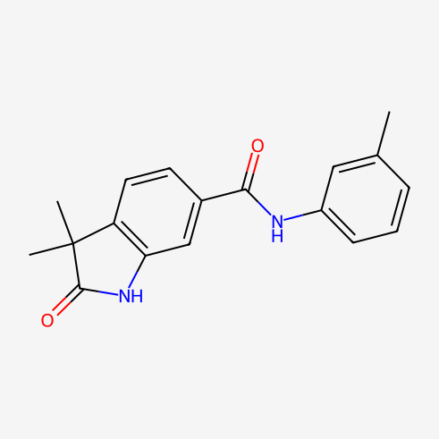 Cc1cccc(NC(=O)c2ccc3c(c2)NC(=O)C3(C)C)c1